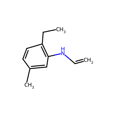 C=CNc1cc(C)ccc1CC